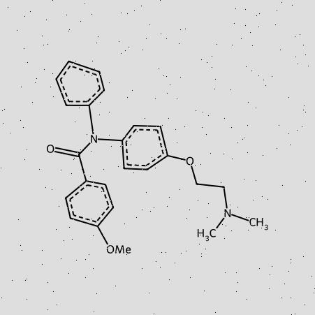 COc1ccc(C(=O)N(c2ccccc2)c2ccc(OCCN(C)C)cc2)cc1